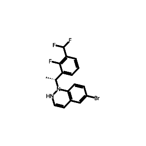 C[C@H](c1cccc(C(F)F)c1F)N1NC=Cc2cc(Br)ccc21